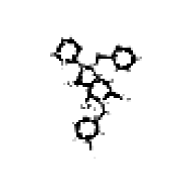 Cc1c2c(=O)n(-c3ccccn3)n(Cc3ccccc3)c2cc(=O)n1Cc1cccc(F)c1